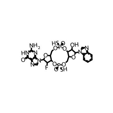 Nc1nc2c(ncn2C2OC3COP(=O)(S)OC4C(COP(=O)(S)OC3C2F)OC(n2cnc3ccccc32)C4O)c(=O)[nH]1